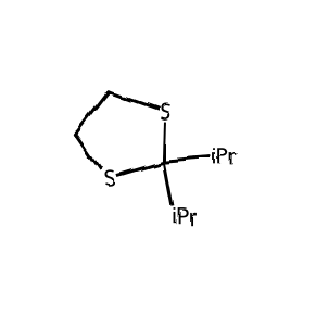 CC(C)C1(C(C)C)SCCS1